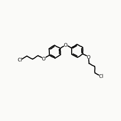 ClCCCOc1ccc(Oc2ccc(OCCCCl)cc2)cc1